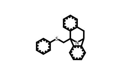 c1ccc(SCC23NC(Cc4ccccc42)c2ccccc23)cc1